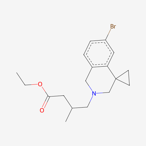 CCOC(=O)CC(C)CN1Cc2ccc(Br)cc2C2(CC2)C1